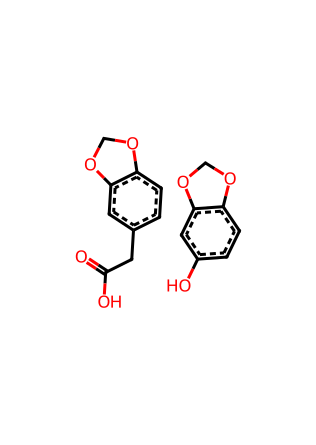 O=C(O)Cc1ccc2c(c1)OCO2.Oc1ccc2c(c1)OCO2